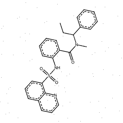 CCC(c1ccccc1)N(C)C(=O)c1ccccc1NS(=O)(=O)c1cccc2cccnc12